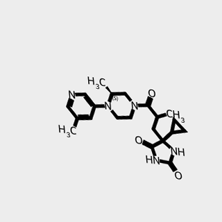 Cc1cncc(N2CCN(C(=O)C(C)CC3(C4CC4)NC(=O)NC3=O)C[C@@H]2C)c1